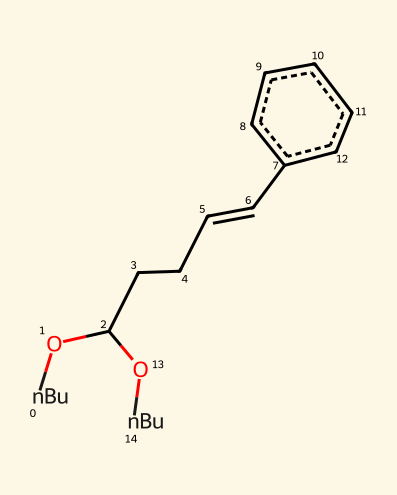 CCCCOC(CCC=Cc1ccccc1)OCCCC